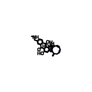 C=C1C/C=C\C#C[C@@H]2Nc3c(cc(O)c4c3C(=O)c3ccc(CNC)cc3C4=O)[C@]13O[C@@]23[C@@H](C)O